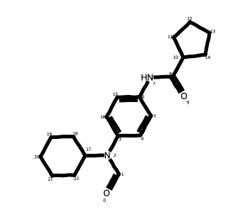 O=CN(c1ccc(NC(=O)C2CCCC2)cc1)C1CCCCC1